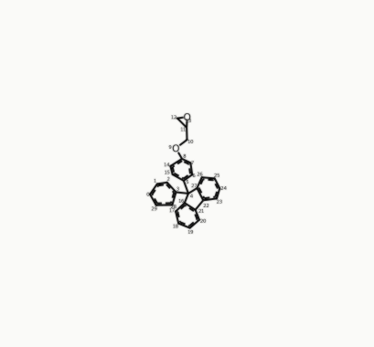 c1ccc(C2(c3ccc(OCC4CO4)cc3)c3ccccc3-c3ccccc32)cc1